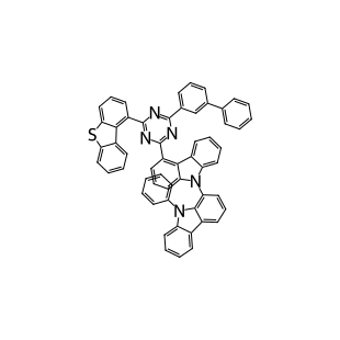 c1ccc(-c2cccc(-c3nc(-c4cccc5sc6ccccc6c45)nc(-c4cccc5c4c4ccccc4n5-c4cccc5c6ccccc6n(-c6ccccc6)c45)n3)c2)cc1